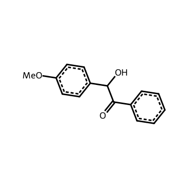 COc1ccc(C(O)C(=O)c2ccccc2)cc1